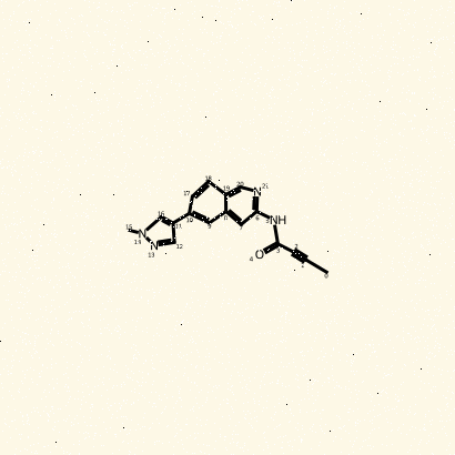 CC#CC(=O)Nc1cc2cc(-c3cnn(C)c3)ccc2cn1